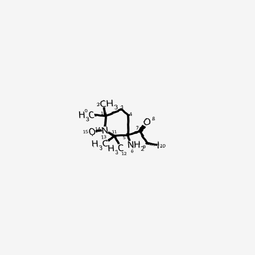 CC1(C)CCC(N)(C(=O)CI)C(C)(C)N1[O]